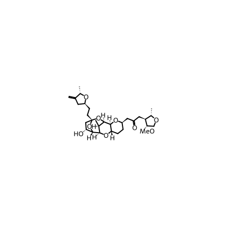 C=C1C[C@H](CC[C@]23C[C@@H](O)[C@H](O2)[C@@H]2O[C@H]4CC[C@H](CC(=O)C[C@H]5[C@H](C)OC[C@@H]5OC)O[C@@H]4[C@H](O3)[C@@H]2C)O[C@H]1C